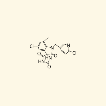 Cc1cc(Cl)cc2c1N(Cc1ccc(Cl)nc1)C(=O)C21NC(=O)NC1=O